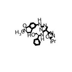 CC(C)c1nnc(-c2cnc(Nc3ccc4c(c3)CCN(C)C4=O)nc2N[C@H](CO)c2ccccc2)o1